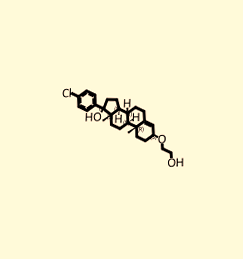 C[C@]12CC[C@H](OCCO)C=C1CC[C@@H]1[C@@H]2CC[C@@]2(C)[C@H]1CC[C@@]2(O)c1ccc(Cl)cc1